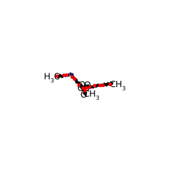 CCCCCC/C=C/C=C\CCCCCCCC(=O)OC(CCC(C)=O)COC(=O)CCCCCCCCCCCCCCC